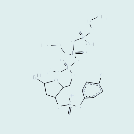 BC1CC(OP(=O)(O)Oc2ccc(Cl)cc2)C(COP(=O)(OOC)OP(=O)(OOC)OP(=O)(O)OOC)O1